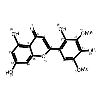 COc1cc(-c2cc(=O)c3c(O)cc(O)cc3o2)c(O)c(OC)c1O